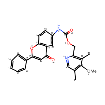 COc1c(C)cnc(COC(=O)Nc2ccc3oc(-c4ccccc4)cc(=O)c3c2)c1C